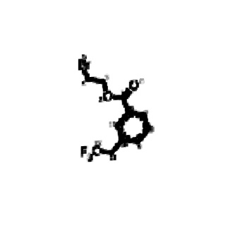 O=C(OCCBr)c1cccc(CC(F)(F)F)c1